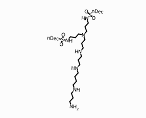 CCCCCCCCCCS(=O)(=O)NCCCN(CCCNCCCNCCCCNCCCN)CCCNS(=O)(=O)CCCCCCCCCC